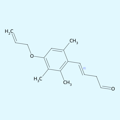 C=CCOc1cc(C)c(/C=C/CC=O)c(C)c1C